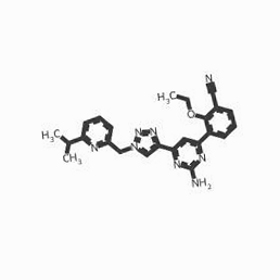 CCOc1c(C#N)cccc1-c1cc(-c2cn(Cc3cccc(C(C)C)n3)nn2)nc(N)n1